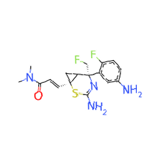 CN(C)C(=O)/C=C/[C@]12CC1[C@@](CF)(c1cc(N)ccc1F)N=C(N)S2